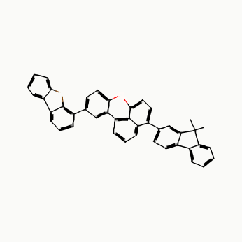 CC1(C)c2ccccc2-c2ccc(-c3ccc4c5c(cccc35)-c3cc(-c5cccc6c5sc5ccccc56)ccc3O4)cc21